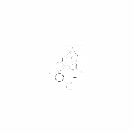 CC1=C[C@]23C(O)[C@@H](C=C4COC(C)(C)O[C@H]4[C@]2(O)[C@H]1OC(=O)[C@@H]1CCCN1c1ccccc1)[C@H]1[C@@H](C[C@H]3C)C1(C)C